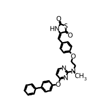 CN(CCOc1ccc(C=C2NC(=O)SC2=O)cc1)c1nccc(Oc2ccc(-c3ccccc3)cc2)n1